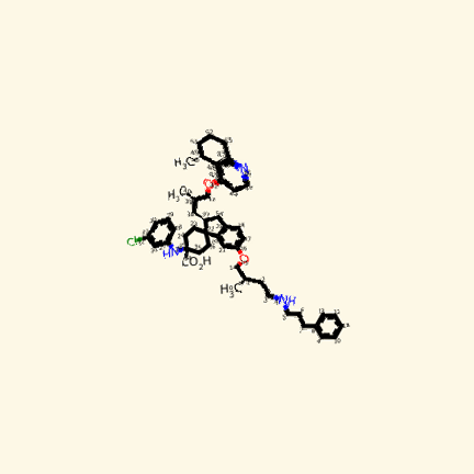 C[C@H](CCNCCCc1ccccc1)COc1ccc2c(c1)C1(CCC(Nc3cccc(Cl)c3)(C(=O)O)CC1)[C@@H](C[C@@H](C)COc1ccnc3c1[C@H](C)CCC3)C2